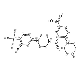 O=C(c1cc([N+](=O)[O-])ccc1N1CCOCC1)N1CCN(c2ccc(C(F)(F)F)c(F)c2)CC1